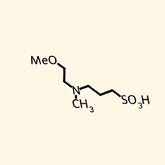 COCCN(C)CCCS(=O)(=O)O